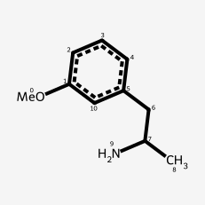 COc1cccc(CC(C)N)c1